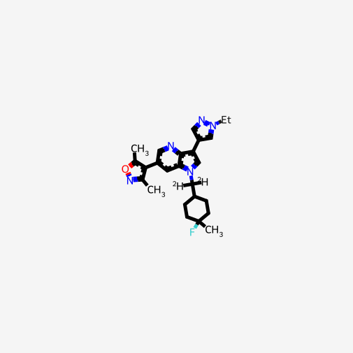 [2H]C([2H])(C1CCC(C)(F)CC1)n1cc(-c2cnn(CC)c2)c2ncc(-c3c(C)noc3C)cc21